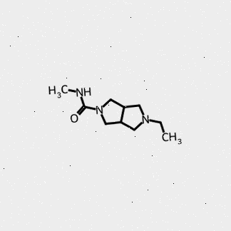 CCN1CC2CN(C(=O)NC)CC2C1